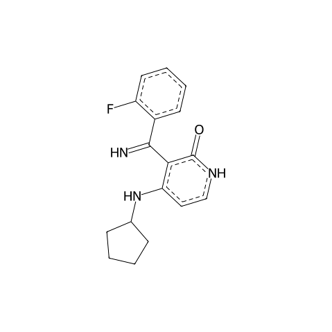 N=C(c1ccccc1F)c1c(NC2CCCC2)cc[nH]c1=O